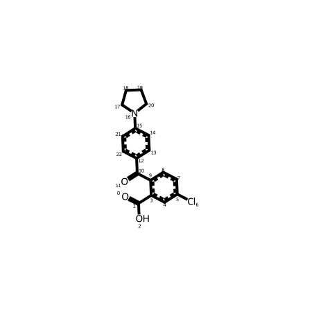 O=C(O)c1cc(Cl)ccc1C(=O)c1ccc(N2CCCC2)cc1